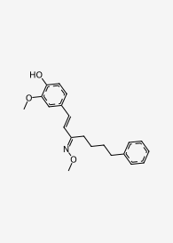 CO/N=C(/C=C/c1ccc(O)c(OC)c1)CCCCc1ccccc1